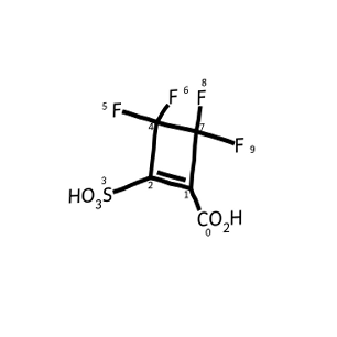 O=C(O)C1=C(S(=O)(=O)O)C(F)(F)C1(F)F